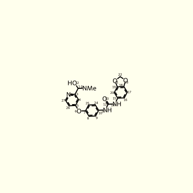 CNC(O)c1cc(Oc2ccc(NC(=O)Nc3ccc4c(c3)OCO4)cc2)ccn1